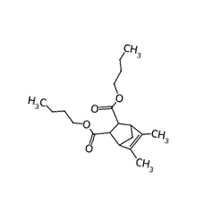 CCCCOC(=O)C1C2CC(C(C)=C2C)C1C(=O)OCCCC